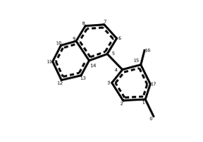 Cc1ccc(-c2cccc3ccccc23)c(C)c1